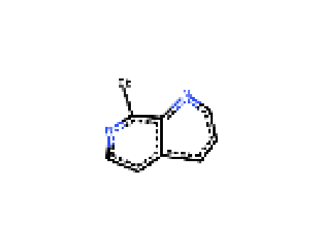 CCc1nccc2cccnc12